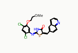 COCCOc1cc(N=C2NC(=O)C(=Cc3ccc4ncccc4c3)S2)c(Cl)cc1Cl